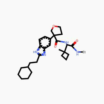 CCNC(=O)C(NC(=O)C1(c2ccc3[nH]c(CCC4CCCCC4)nc3c2)CCOC1)C1(C)CCC1